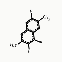 Cc1cc2c(F)c(F)c(C)cc2cc1F